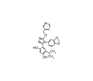 CC(C)c1cc(-c2nnc(OCc3cccnc3)n2-c2ccc3c(c2)OCO3)c(O)cc1O